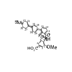 COc1cc(C(=O)O)ccc1NS(=O)(=O)c1cccc(-c2ccc(C3=CCC(C(C)(C)C)CC3)cc2)c1F